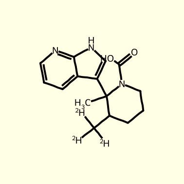 [2H]C([2H])([2H])C1CCCN(C(=O)O)C1(C)c1c[nH]c2ncccc12